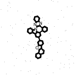 c1ccc2c(c1)-c1nc3ccccc3nc1-n1c3ccccc3c3cc(-c4ccc5c(c4)oc4c6ccccc6ccc54)cc-2c31